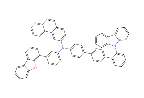 c1cc(-c2cccc3c2oc2ccccc23)cc(N(c2ccc(-c3ccc(-c4ccccc4-n4c5ccccc5c5ccccc54)cc3)cc2)c2ccc3ccc4ccccc4c3c2)c1